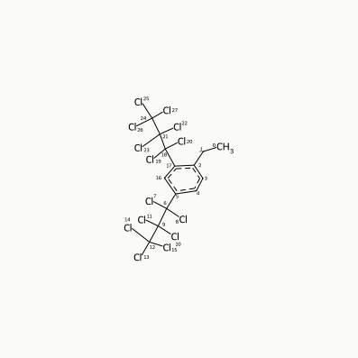 C[CH]c1ccc(C(Cl)(Cl)C(Cl)(Cl)C(Cl)(Cl)Cl)cc1C(Cl)(Cl)C(Cl)(Cl)C(Cl)(Cl)Cl